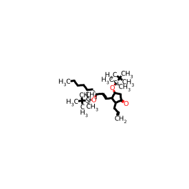 C=CCC1C(=O)CC(O[Si](C)(C)C(C)(C)C)C1/C=C/[C@@H](CCCCCC)O[Si](C)(C)C(C)(C)C